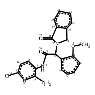 COc1ccccc1C(C(=O)Nc1ccc(Cl)nc1N)N1Cc2ccccc2C1=O